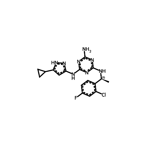 C[C@H](Nc1nc(N)nc(Nc2cc(C3CC3)[nH]n2)n1)c1ccc(F)cc1Cl